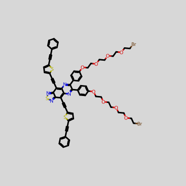 BrCCOCCOCCOCCOc1ccc(-c2nc3c(C#Cc4ccc(C#Cc5ccccc5)s4)c4nsnc4c(C#Cc4ccc(C#Cc5ccccc5)s4)c3nc2-c2ccc(OCCOCCOCCOCCBr)cc2)cc1